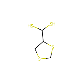 SC(S)C1CSCS1